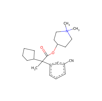 CC(C(=O)OC1CC[N+](C)(C)CC1)(c1cccc(C#N)c1)C1CCCC1